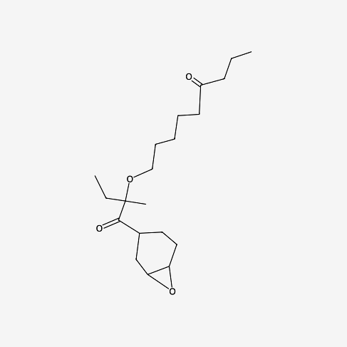 CCCC(=O)CCCCCOC(C)(CC)C(=O)C1CCC2OC2C1